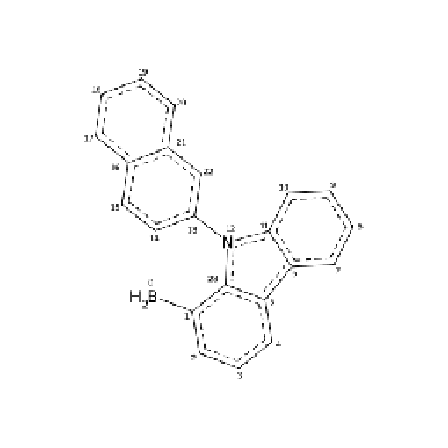 Bc1cccc2c3ccccc3n(-c3ccc4ccccc4c3)c12